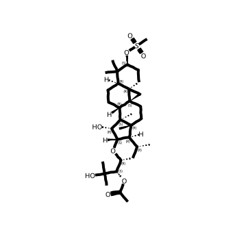 CC(=O)O[C@@H]([C@H]1C[C@@H](C)[C@H]2[C@H](O1)[C@H](O)[C@@]1(C)[C@@H]3CC[C@H]4C(C)(C)[C@@H](OS(C)(=O)=O)CC[C@@]45C[C@@]35CC[C@]21C)C(C)(C)O